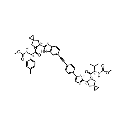 COC(=O)N[C@H](C(=O)N1CC2(CC2)C[C@H]1c1ncc(-c2ccc(C#Cc3ccc4nc([C@@H]5CC6(CC6)CN5C(=O)[C@H](NC(=O)OC)c5ccc(C)cc5)[nH]c4c3)cc2)[nH]1)C(C)C